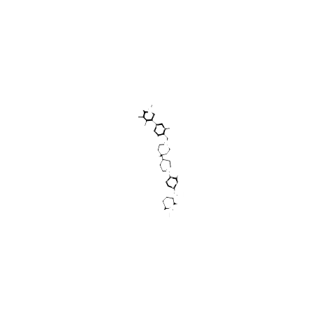 CCc1cc(-c2cn(C)c(=O)c(C)c2C)cc(Cl)c1CN1CCC(F)(C2CCN(c3ccc(NC4CCC(=O)NC4=O)cc3F)CC2)CC1